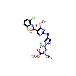 CCOc1nc(Nc2cnn([C@H](C)CN(C)C(=O)OC(C)(C)C)c2)ncc1C(=O)Nc1c(Cl)cccc1Br